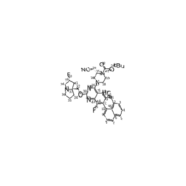 C#Cc1cccc2cccc(-c3c(F)cc4c(N5CCN(C(=O)OC(C)(C)C)[C@@H](CC#N)C5)nc(OC[C@@]56CCCN5C[C@H](F)C6)nc4c3F)c12